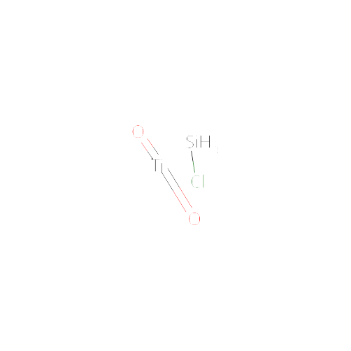 [O]=[Ti]=[O].[SiH3]Cl